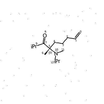 C=CCCC[C@@](C)(C(=O)C(C)C)N(C)C(C)C